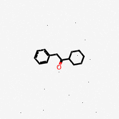 O=C(Cc1ccccc1)C1CCCCC1